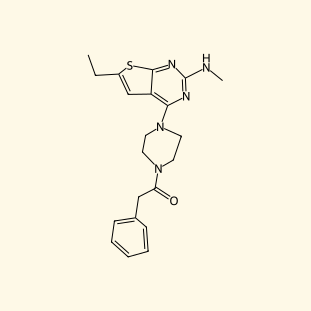 CCc1cc2c(N3CCN(C(=O)Cc4ccccc4)CC3)nc(NC)nc2s1